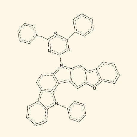 c1ccc(-c2nc(-c3ccccc3)nc(-n3c4cc5c(cc4c4c3ccc3c6ccccc6n(-c6ccccc6)c34)oc3ccccc35)n2)cc1